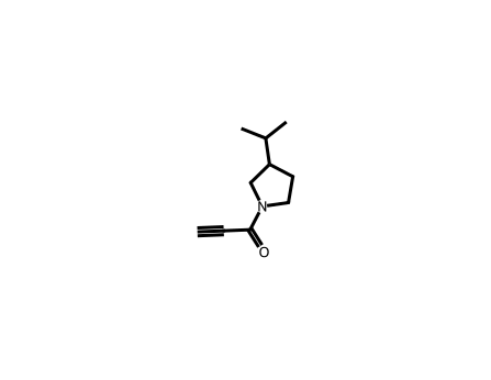 C#CC(=O)N1CCC(C(C)C)C1